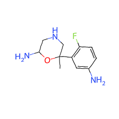 CC1(c2cc(N)ccc2F)CNCC(N)O1